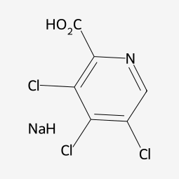 O=C(O)c1ncc(Cl)c(Cl)c1Cl.[NaH]